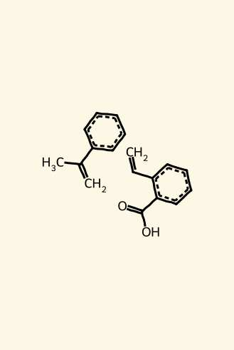 C=C(C)c1ccccc1.C=Cc1ccccc1C(=O)O